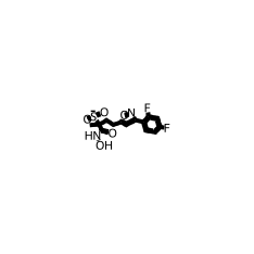 CC(CCc1cc(-c2ccc(F)cc2F)no1)(C(=O)NO)S(C)(=O)=O